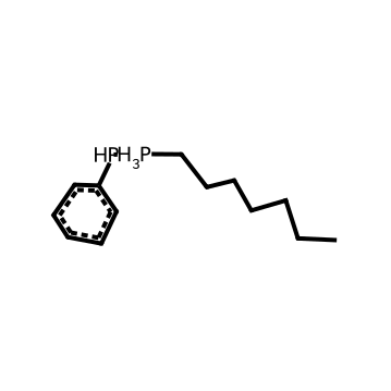 CCCCCCC[PH3]Pc1ccccc1